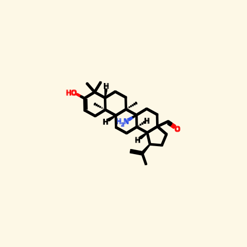 C=C(C)[C@@H]1CCC2(C=O)CC[C@]3(N)[C@H](CC[C@@H]4[C@@]5(C)CC=C(O)C(C)(C)[C@@H]5CC[C@]43C)[C@@H]12